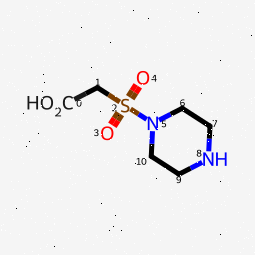 O=C(O)CS(=O)(=O)N1CCNCC1